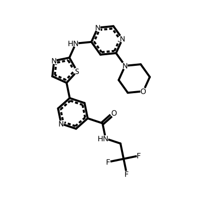 O=C(NCC(F)(F)F)c1cncc(-c2cnc(Nc3cc(N4CCOCC4)ncn3)s2)c1